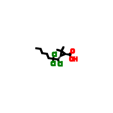 CCCCCC(Cl)(Cl)C(Cl)[C@H]1[C@H](C(=O)O)C1(C)C